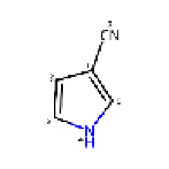 N#Cc1[c]c[nH]c1